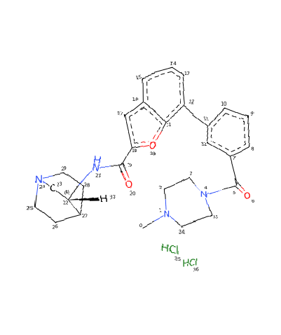 CN1CCN(C(=O)c2cccc(-c3cccc4cc(C(=O)N[C@H]5CN6CCC5CC6)oc34)c2)CC1.Cl.Cl